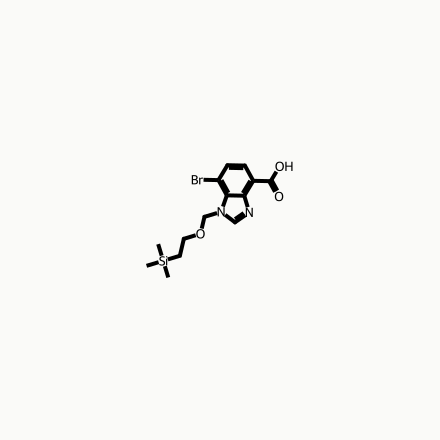 C[Si](C)(C)CCOCn1cnc2c(C(=O)O)ccc(Br)c21